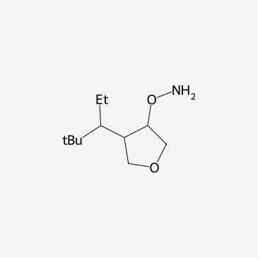 CCC(C1COCC1ON)C(C)(C)C